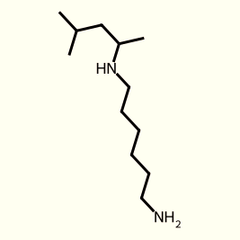 CC(C)CC(C)NCCCCCCN